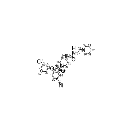 Cc1cc(Cl)cc(Oc2ccc(C#N)cc2S(=O)(=O)N2CCC(NC(=O)NCCN3CCCCC3)CC2)c1